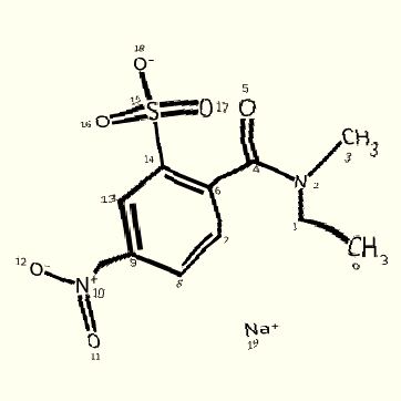 CCN(C)C(=O)c1ccc([N+](=O)[O-])cc1S(=O)(=O)[O-].[Na+]